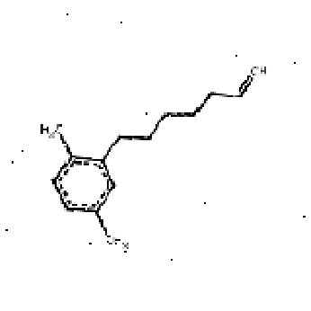 [CH]=CCCCCCc1cc(C)ccc1C